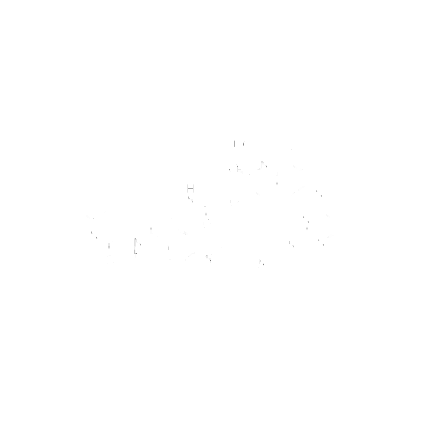 CNC(=O)COc1cc2cc(Nc3nc(N4CCN(CC5CCN(c6ccc(C(=O)NC7CCC(=O)NC7=O)c(OC)c6)CC5)CC4)ncc3Cl)ccc2n(C(C)C)c1=O